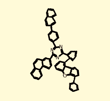 c1ccc(-c2cccc3c2oc2cccc(-c4ccccc4-c4nc(-c5ccc(-c6ccc7ccccc7c6)cc5)nc(-c5ccc6c(ccc7ccccc76)c5)n4)c23)cc1